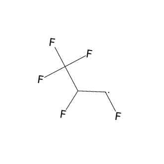 F[CH]C(F)C(F)(F)F